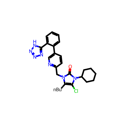 CCCCc1c(Cl)n(C2CCCCC2)c(=O)n1Cc1ccc(-c2ccccc2-c2nnn[nH]2)cn1